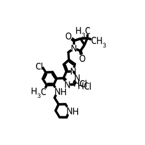 Cc1cc(Cl)cc(-c2ncnn3cc(CN4C(=O)C5C(C4=O)C5(C)C)cc23)c1NCC1CCCNC1.Cl.Cl